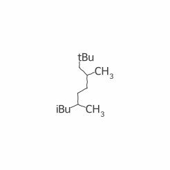 CCC(C)C(C)CCC(C)CC(C)(C)C